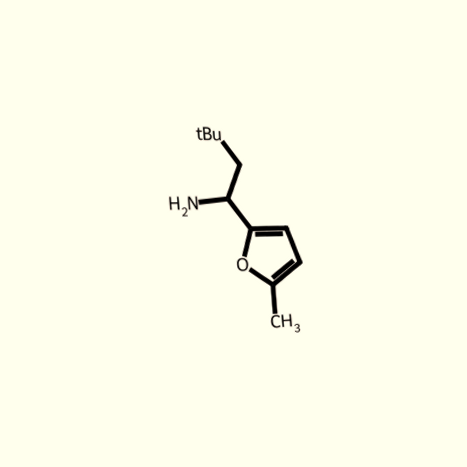 Cc1ccc(C(N)CC(C)(C)C)o1